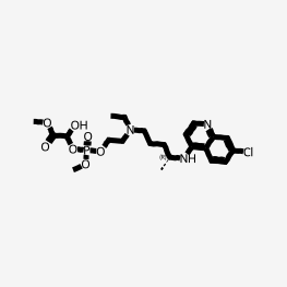 CCN(CCC[C@@H](C)Nc1ccnc2cc(Cl)ccc12)CCOP(=O)(OC)OC(O)C(=O)OC